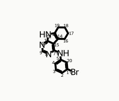 Brc1cccc(Nc2ncnc3[nH]c4c(c23)CCCC4)c1